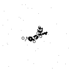 CC(C)=CCN(C(=O)CN1CCN(C(=O)c2ccc([N+](=O)[O-])cc2)CC1)c1cn(C)c(=O)n(C)c1=O